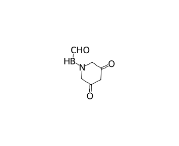 O=CBN1CC(=O)CC(=O)C1